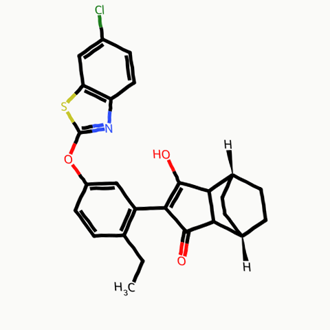 CCc1ccc(Oc2nc3ccc(Cl)cc3s2)cc1C1=C(O)C2C(C1=O)[C@H]1CC[C@@H]2CC1